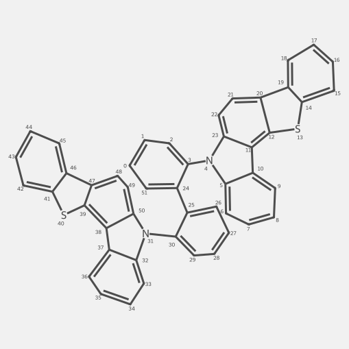 c1ccc(-n2c3ccccc3c3c4sc5ccccc5c4ccc32)c(-c2ccccc2-n2c3ccccc3c3c4sc5ccccc5c4ccc32)c1